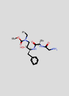 CC(C)CN(C[C@@H](O)[C@H](Cc1ccccc1)NC(=O)[C@@H](NC(=O)CN)C(C)(C)C)C(=O)OC(C)(C)C